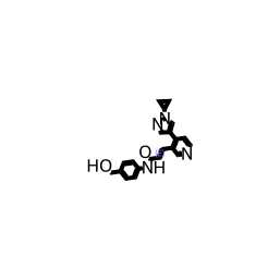 O=C(/C=C/c1cnccc1-c1cnn(C2CC2)c1)Nc1ccc(CO)cc1